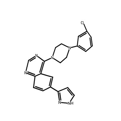 Clc1cccc(N2CCN(c3ncnc4ccc(-c5cc[nH]n5)cc34)CC2)c1